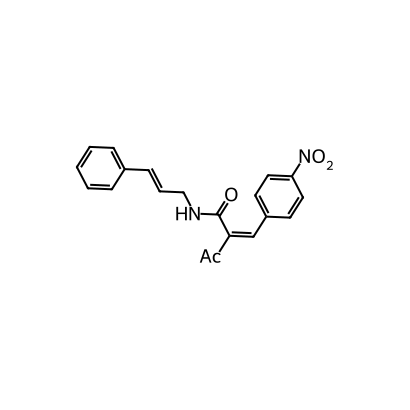 CC(=O)C(=Cc1ccc([N+](=O)[O-])cc1)C(=O)NCC=Cc1ccccc1